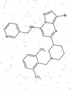 Cc1cccc(C)c1CN1CCCC(c2cc(NCc3cccnc3)n3ncc(Br)c3n2)C1